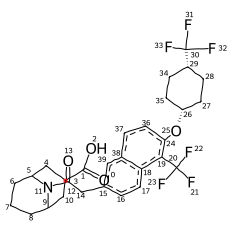 O=C(O)C1CC2CCCC(C1)N2C(=O)Cc1ccc2c(C(F)(F)F)c(O[C@H]3CC[C@@H](C(F)(F)F)CC3)ccc2c1